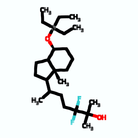 CC[Si](CC)(CC)O[C@H]1CCC[C@]2(C)C(C(C)CCC(F)(F)C(C)(C)O)CCC12